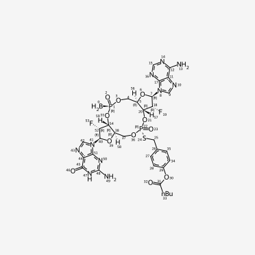 B[P@@]1(=O)OC[C@H]2O[C@@H](n3cnc4c(N)ncnc43)[C@H](F)[C@@H]2O[P@](=O)(SCc2ccc(OC(=O)CCCC)cc2)OC[C@H]2O[C@@H](n3cnc4c(=O)[nH]c(N)nc43)[C@H](F)[C@@H]2O1